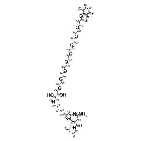 CCCN(CCC)C(=O)C1=Cc2sc(CCCCCN(C)CC(O)C(O)COCCOCCOCCOCCOCCOCCOCCOCCC(=O)Oc3c(F)c(F)cc(F)c3F)cc2N=C(N)C1